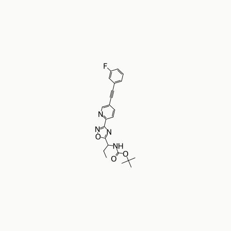 CCC(NC(=O)OC(C)(C)C)c1nc(-c2ccc(C#Cc3cccc(F)c3)cn2)no1